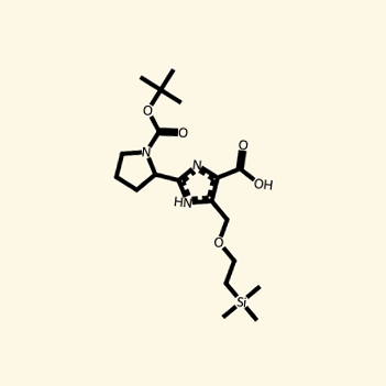 CC(C)(C)OC(=O)N1CCCC1c1nc(C(=O)O)c(COCC[Si](C)(C)C)[nH]1